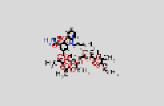 CCCCNc1cc(C(=O)OC(C)C(=O)OC(C)C(=O)OC(C)C(=O)OC(C)C(=O)OC(C)C(=O)OC(C)C(=O)OCC)cc(S(N)(=O)=O)c1Oc1ccccc1